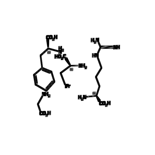 CC(C)C[C@H](N)C(=O)O.N=C(N)NCCC[C@H](N)C(=O)O.NCC(=O)O.N[C@@H](Cc1ccccc1)C(=O)O